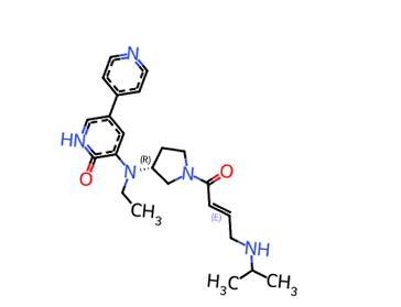 CCN(c1cc(-c2ccncc2)c[nH]c1=O)[C@@H]1CCN(C(=O)/C=C/CNC(C)C)C1